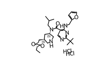 CCS(=O)(=O)C[C@@H]1CNC[C@@H](N(CC(C)C)C(=O)c2cnc(C(C)(C)C)nc2NCc2ccco2)C1.Cl.Cl